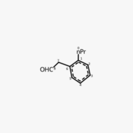 CCCc1ccccc1CC=O